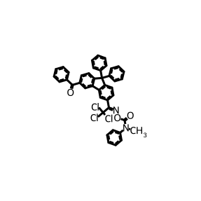 CN(C(=O)O/N=C(/c1ccc2c(c1)-c1cc(C(=O)c3ccccc3)ccc1C2(c1ccccc1)c1ccccc1)C(Cl)(Cl)Cl)c1ccccc1